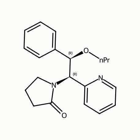 CCCO[C@H](c1ccccc1)[C@@H](c1ccccn1)N1CCCC1=O